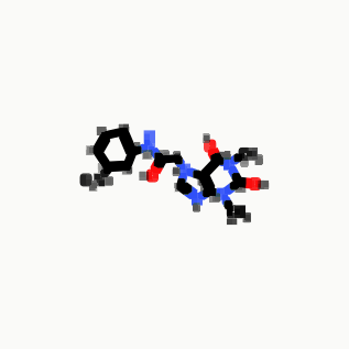 Cn1c(=O)c2c(ncn2CC(=O)Nc2cccc([N+](=O)[O-])c2)n(C)c1=O